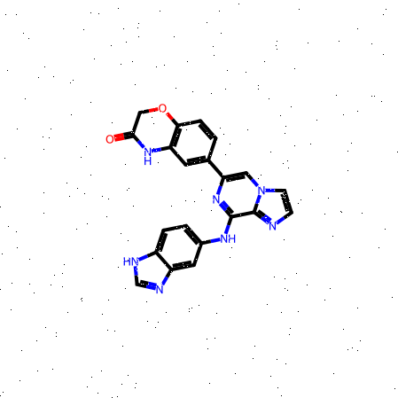 O=C1COc2ccc(-c3cn4ccnc4c(Nc4ccc5[nH]cnc5c4)n3)cc2N1